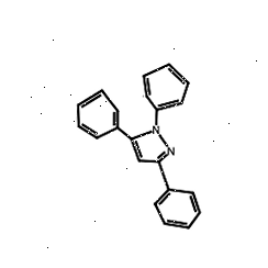 [c]1ccccc1-n1nc(-c2ccccc2)cc1-c1ccccc1